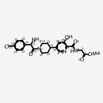 COC(=O)CNC(=O)c1ncc(C2CCN(C(=O)C(N)c3ccc(Cl)cc3)CC2)cc1O